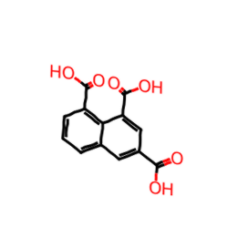 O=C(O)c1cc(C(=O)O)c2c(C(=O)O)cccc2c1